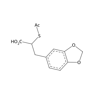 CC(=O)SC(Cc1ccc2c(c1)OCO2)C(=O)O